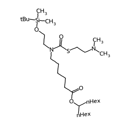 CCCCCCC(CCCCCC)OC(=O)CCCCCN(CCO[Si](C)(C)C(C)(C)C)C(=O)SCCN(C)C